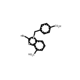 CCCCc1nc2c(C(=O)O)cccc2n1Cc1ccc(C(=O)O)cc1